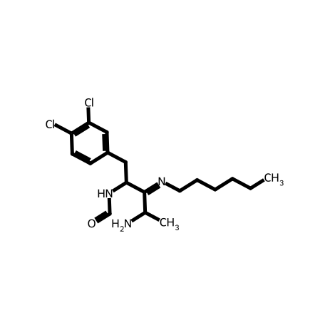 CCCCCCN=C(C(C)N)C(Cc1ccc(Cl)c(Cl)c1)NC=O